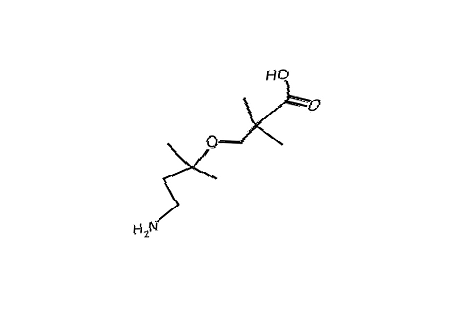 CC(C)(CCN)OCC(C)(C)C(=O)O